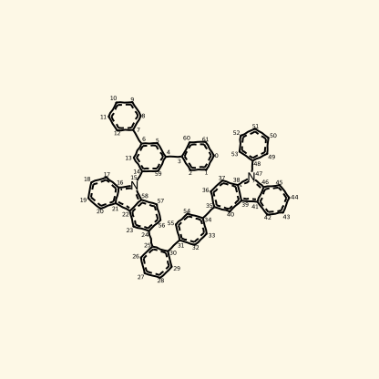 c1ccc(-c2cc(-c3ccccc3)cc(-n3c4ccccc4c4cc(-c5ccccc5-c5ccc(-c6ccc7c(c6)c6ccccc6n7-c6ccccc6)cc5)ccc43)c2)cc1